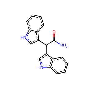 NC(=O)C(c1c[nH]c2ccccc12)c1c[nH]c2ccccc12